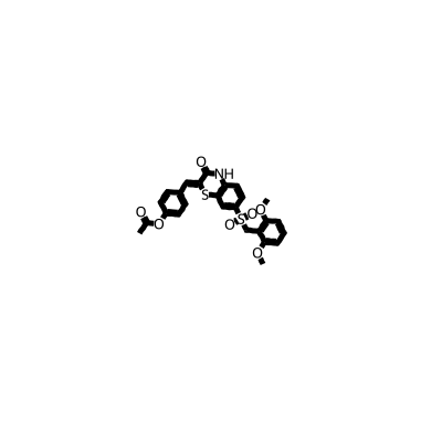 COc1cccc(OC)c1CS(=O)(=O)c1ccc2c(c1)SC(=Cc1ccc(OC(C)=O)cc1)C(=O)N2